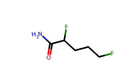 NC(=O)C(F)CCCF